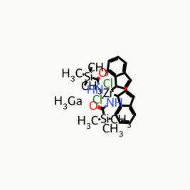 C[Si](C)(C)C(=O)[NH][Zr]([Cl])([Cl])([NH]C(=O)[Si](C)(C)C)([CH]1C=Cc2ccccc21)[CH]1C=Cc2ccccc21.[GaH3]